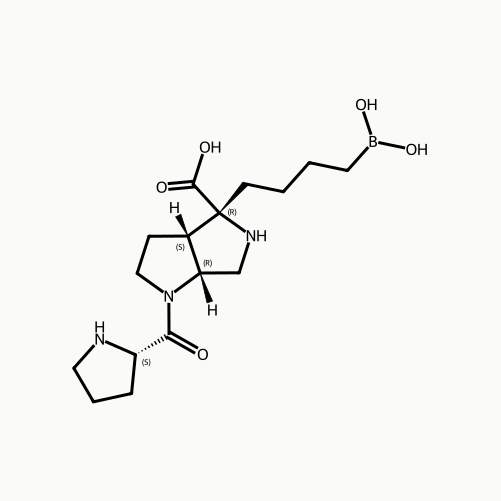 O=C([C@@H]1CCCN1)N1CC[C@H]2[C@@H]1CN[C@@]2(CCCCB(O)O)C(=O)O